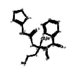 CSCC[C@@](SC(=S)Nc1nccs1)(C(=O)O)N(C)C(=O)c1ccccc1